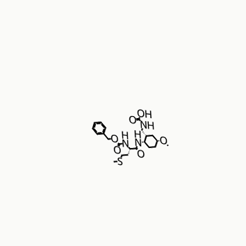 CO[C@@H]1CC[C@H](NC(=O)[C@H](CCSC)NC(=O)OCc2ccccc2)[C@H](CNC(=O)O)C1